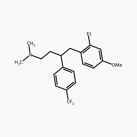 CCc1cc(OC)ccc1CC(CCN(C)C)c1ccc(C(F)(F)F)cc1